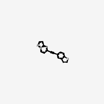 C(#Cc1ccn2nccc2n1)c1ccc2c(c1)CCO2